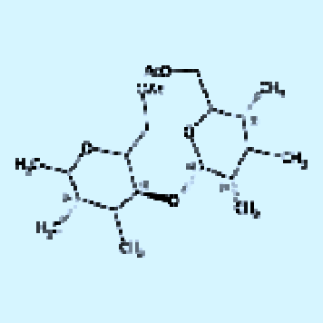 CC(=O)OCC1O[C@@H](O[C@@H]2C(COC(C)=O)OC(C)[C@@H](C)C2C)[C@@H](C)C(C)[C@H]1C